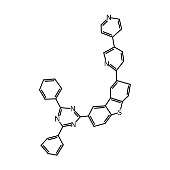 c1ccc(-c2nc(-c3ccccc3)nc(-c3ccc4sc5ccc(-c6ccc(-c7ccncc7)cn6)cc5c4c3)n2)cc1